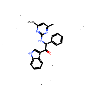 COc1cc(C)nc(NC(C(=O)c2c[nH]c3ccccc23)c2ccccc2)n1